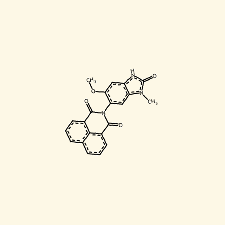 COc1cc2[nH]c(=O)n(C)c2cc1N1C(=O)c2cccc3cccc(c23)C1=O